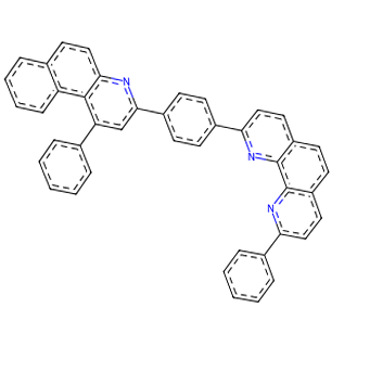 c1ccc(-c2ccc3ccc4ccc(-c5ccc(-c6cc(-c7ccccc7)c7c(ccc8ccccc87)n6)cc5)nc4c3n2)cc1